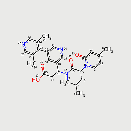 Cc1ccn([C@H](CC(C)C)C(=O)N[C@@H](CC(=O)O)c2cncc(-c3c(C)cncc3C)c2)c(=O)c1